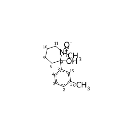 Cc1cccc(C2(O)CCCC[N+]2(C)[O-])c1